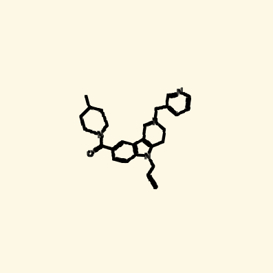 C=CCn1c2c(c3cc(C(=O)N4CCC(C)CC4)ccc31)CN(Cc1cccnc1)CC2